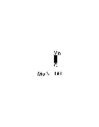 [LiH].[Mo].[Ni].[O]=[Mn]